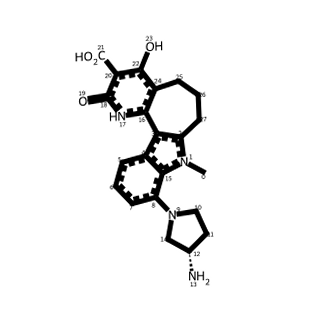 Cn1c2c(c3cccc(N4CC[C@H](N)C4)c31)-c1[nH]c(=O)c(C(=O)O)c(O)c1CCC2